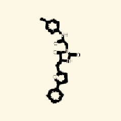 Cc1ccc(NC(=O)CN2C(=O)N/C(=C\c3ccc(-c4ccccc4)o3)C2=O)cc1